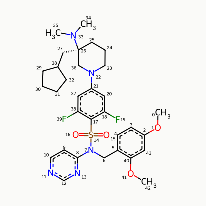 COc1ccc(CN(c2ccncn2)S(=O)(=O)c2c(F)cc(N3CCC[C@](CC4CCCC4)(N(C)C)C3)cc2F)c(OC)c1